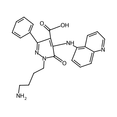 NCCCCn1nc(-c2ccccc2)c(C(=O)O)c(Nc2cccc3ncccc23)c1=O